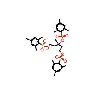 Cc1cc(C)c(S(=O)(=O)OCCC(C)(CCOS(=O)(=O)c2c(C)cc(C)cc2C)OS(=O)(=O)c2c(C)cc(C)cc2C)c(C)c1